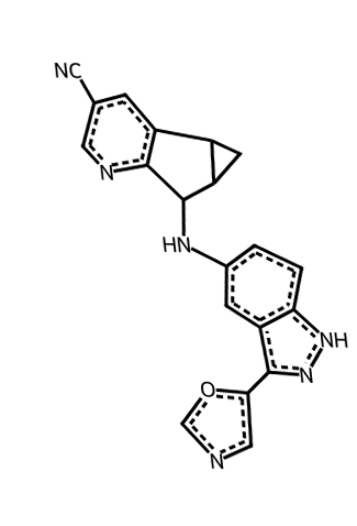 N#Cc1cnc2c(c1)C1CC1C2Nc1ccc2[nH]nc(-c3cnco3)c2c1